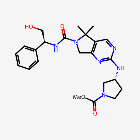 COC(=O)N1CC[C@@H](Nc2ncc3c(n2)CN(C(=O)N[C@H](CO)c2ccccc2)C3(C)C)C1